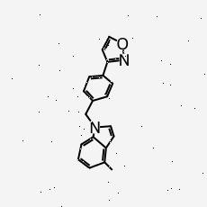 Cc1cccc2c1ccn2Cc1ccc(-c2ccon2)cc1